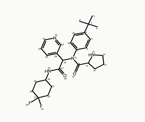 CC(C)(C)c1ccc(N(C(=O)C2CCCN2)C(C(=O)NC2CCC(F)(F)CC2)c2cccnc2)cc1